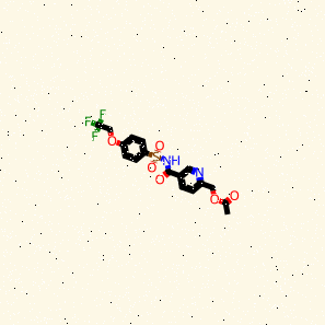 CC(=O)OCc1ccc(C(=O)NS(=O)(=O)c2ccc(OCC(F)(F)F)cc2)cn1